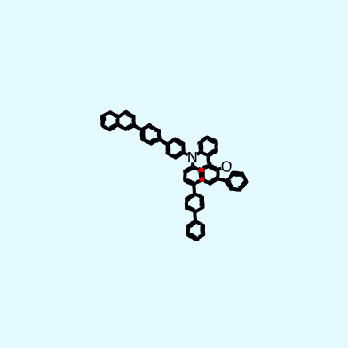 c1ccc(-c2ccc(-c3ccc(N(c4ccc(-c5ccc(-c6ccc7ccccc7c6)cc5)cc4)c4ccccc4-c4cccc5c4oc4ccccc45)cc3)cc2)cc1